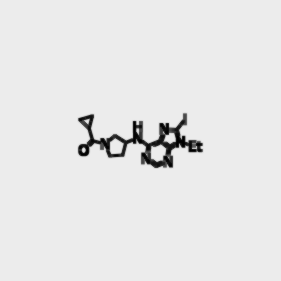 CCn1c(I)nc2c(NC3CCN(C(=O)C4CC4)C3)ncnc21